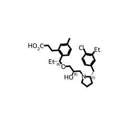 CCc1cc(C[C@@H]2CCCN2C[C@@H](O)CO[C@H](CC)c2ccc(C)cc2CCC(=O)O)ccc1Cl